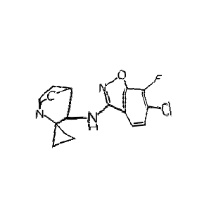 Fc1c(Cl)ccc2c(NC3C4CCN(CC4)C34CC4)noc12